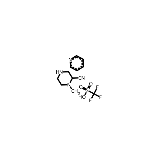 CN1CCNCC1C#N.O=S(=O)(O)C(F)(F)F.c1ccncc1